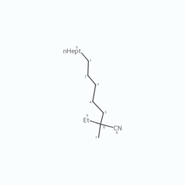 CCCCCCCCCCCCC(C)(C#N)CC